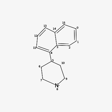 c1ccc2c(C3CC[N]CC3)cccc2c1